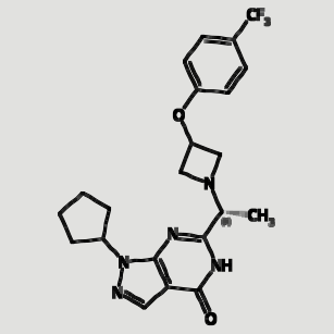 C[C@H](c1nc2c(cnn2C2CCCC2)c(=O)[nH]1)N1CC(Oc2ccc(C(F)(F)F)cc2)C1